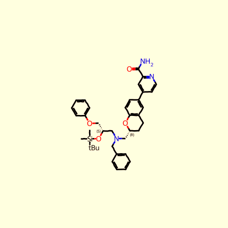 CC(C)(C)[Si](C)(C)O[C@H](COc1ccccc1)CN(Cc1ccccc1)C[C@H]1CCc2cc(-c3ccnc(C(N)=O)c3)ccc2O1